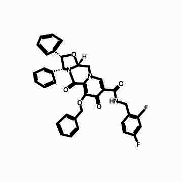 O=C(NCc1ccc(F)cc1F)c1cn2c(c(OCc3ccccc3)c1=O)C(=O)N1[C@H](c3ccccc3)[C@H](c3ccccc3)O[C@@H]1C2